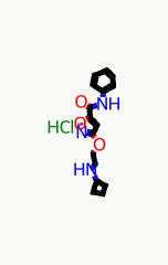 Cl.O=C(Nc1ccccc1)c1cc(OCCNC2CCC2)no1